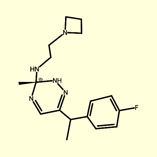 CC(C1=NN[C@@](C)(NCCN2CCC2)N=C1)c1ccc(F)cc1